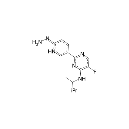 CC(C)C(C)Nc1nc(-c2cc/c(=N/N)[nH]c2)ncc1F